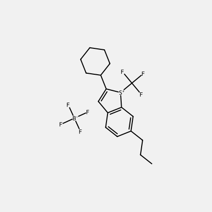 CCCc1ccc2cc(C3CCCCC3)[s+](C(F)(F)F)c2c1.F[B-](F)(F)F